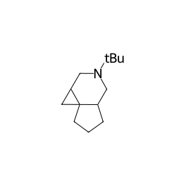 CC(C)(C)N1CC2CCCC23CC3C1